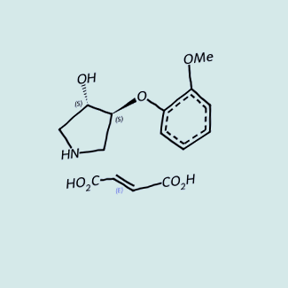 COc1ccccc1O[C@H]1CNC[C@@H]1O.O=C(O)/C=C/C(=O)O